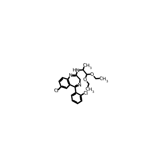 CCOC(OCC)C(C)NC1=Nc2ccc(Cl)cc2C(c2ccccc2Cl)=NC1